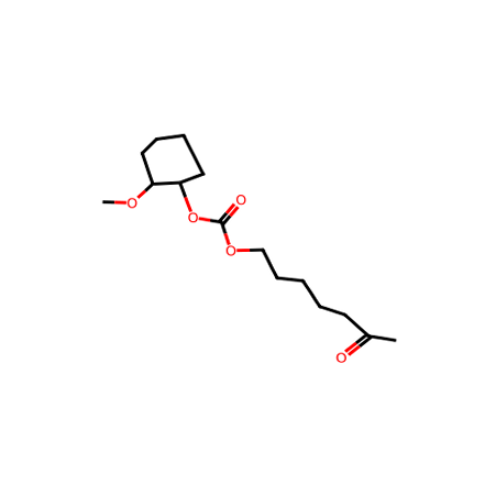 COC1CCCCC1OC(=O)OCCCCCC(C)=O